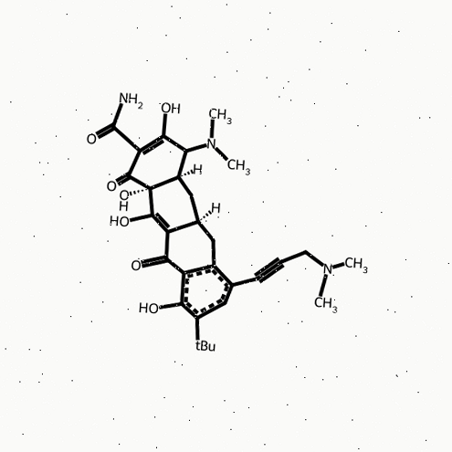 CN(C)CC#Cc1cc(C(C)(C)C)c(O)c2c1C[C@@H]1C[C@@H]3C(N(C)C)C(O)=C(C(N)=O)C(=O)[C@]3(O)C(O)=C1C2=O